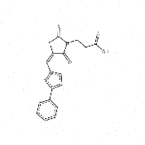 O=C(O)CCN1C(=O)/C(=C\c2ccc(-c3ccccc3)o2)SC1=S